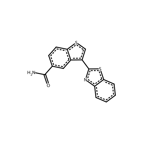 NC(=O)c1ccc2scc(-c3nc4ccccc4s3)c2c1